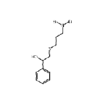 CCN(CC)CCCSCC(O)c1ccccc1